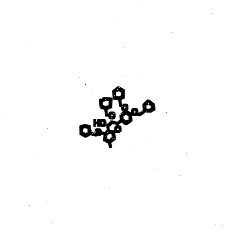 Cc1cc(OCc2ccccc2)c2c(c1)O[C@H](c1ccc(OCc3ccccc3)c(OCc3ccccc3)c1)[C@@H](OCc1ccccc1)[C@H]2O